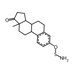 CC12CCC3c4ccc(OSN)cc4CCC3C1CCC2=O